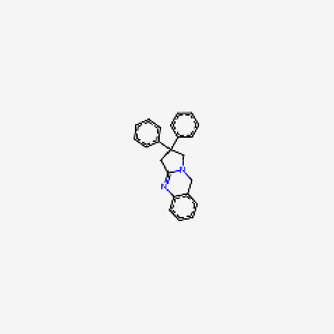 c1ccc(C2(c3ccccc3)CC3=Nc4ccccc4CN3C2)cc1